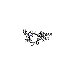 CCO[C@@H](O[C@@H]1[C@@H](C)C(=O)[C@@H](C)C(=O)O[C@H](CC)[C@@](C)(OC(=O)n2ccnc2)/C=C(\C)C(=O)[C@H](C)C[C@@]1(C)OC)C(OC)C(CC)N(C)C